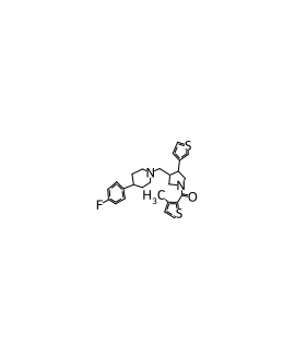 Cc1ccsc1C(=O)N1CC(CN2CCC(c3ccc(F)cc3)CC2)C(c2ccsc2)C1